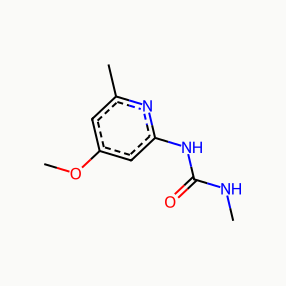 CNC(=O)Nc1cc(OC)cc(C)n1